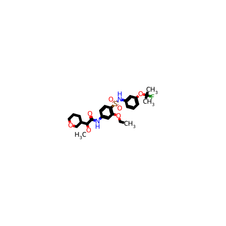 CCOc1cc(NC(=O)C(OC)C2CCCOC2)ccc1S(=O)(=O)Nc1cccc(OC(C)(C)F)c1